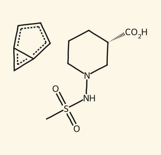 CS(=O)(=O)NN1CCC[C@H](C(=O)O)C1.c1cc2cc-2c1